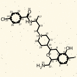 Cc1ccc2c(c1O)CC(C1CCN(CCC(C)NC(=O)c3ccc(Cl)cc3)CC1)OC2CN